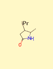 CC(C)C1CC(=O)NC1C